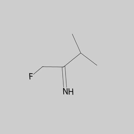 CC(C)C(=N)CF